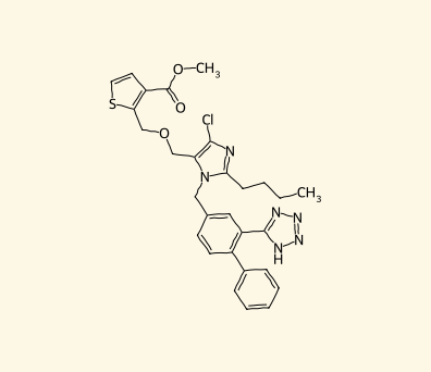 CCCCc1nc(Cl)c(COCc2sccc2C(=O)OC)n1Cc1ccc(-c2ccccc2)c(-c2nnn[nH]2)c1